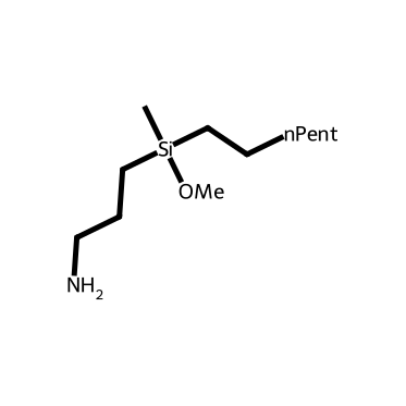 CCCCCCC[Si](C)(CCCN)OC